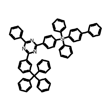 c1ccc(-c2ccc([Si](c3ccccc3)(c3ccccc3)c3ccc(-c4nc(-c5ccccc5)nc(-c5cccc(C(c6ccccc6)(c6ccccc6)c6ccccc6)c5)n4)cc3)cc2)cc1